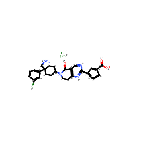 Cl.Cl.NCC1(c2cccc(Cl)c2)CCC(N2CCc3nc(-c4cccc(C(=O)O)c4)ncc3C2=O)CC1